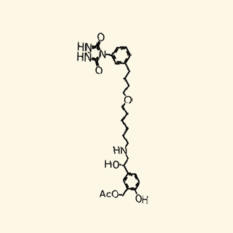 CC(=O)OCc1cc([C@@H](O)CNCCCCCCOCCCCc2cccc(-n3c(=O)[nH][nH]c3=O)c2)ccc1O